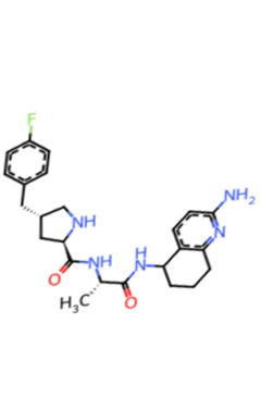 C[C@H](NC(=O)[C@H]1C[C@H](Cc2ccc(F)cc2)CN1)C(=O)NC1CCCc2nc(N)ccc21